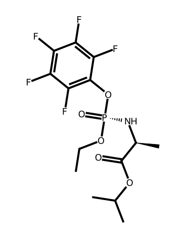 CCO[P@](=O)(N[C@@H](C)C(=O)OC(C)C)Oc1c(F)c(F)c(F)c(F)c1F